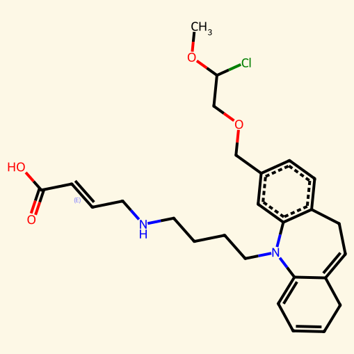 COC(Cl)COCc1ccc2c(c1)N(CCCCNC/C=C/C(=O)O)C1=CC=CCC1=CC2